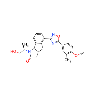 Cc1cc(-c2nc(-c3cccc4c3CC3CC(=O)N([C@H](C)CO)C43)no2)ccc1OC(C)C